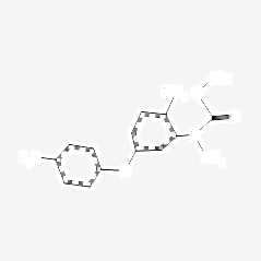 CN(C(=O)OC(C)(C)C)c1cc(Oc2ccc(C(F)(F)F)cc2)ccc1[N+](=O)[O-]